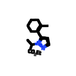 CCOC(=O)C(C)n1nccc1C1=C(C)CCCC1